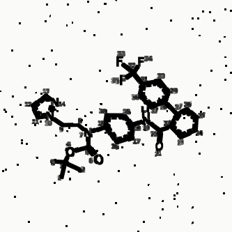 CC(C)(C)OC(=O)N(CCn1cccn1)c1ccc(NC(=O)c2ccccc2-c2ccc(C(F)(F)F)cc2)cc1